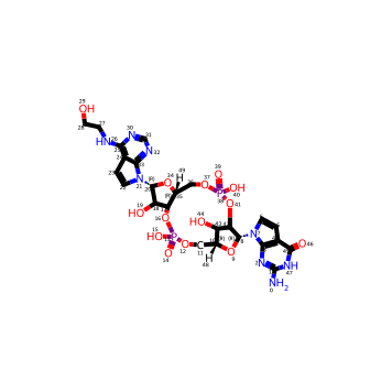 Nc1nc2c(ccn2[C@@H]2O[C@@H]3COP(=O)(O)OC4C(O)[C@H](n5ccc6c(NCCO)ncnc65)O[C@@H]4COP(=O)(O)OC2C3O)c(=O)[nH]1